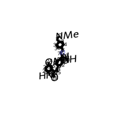 CNCc1ccc(/C=C/c2n[nH]c3cc(C4C[C@@]45C(=O)Nc4ccc(OC)cc45)ccc23)cc1